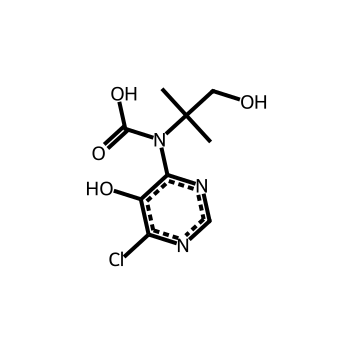 CC(C)(CO)N(C(=O)O)c1ncnc(Cl)c1O